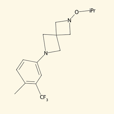 Cc1ccc(N2CC3(CN(OC(C)C)C3)C2)cc1C(F)(F)F